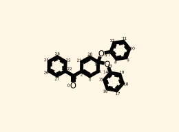 O=C(C1=CCC(Oc2ccccc2)(Oc2ccccc2)C=C1)c1ccccc1